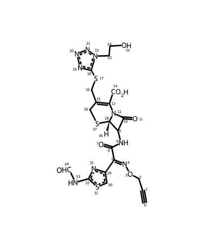 C#CCON=C(C(=O)NC1C(=O)N2C(C(=O)O)=C(CSc3nnnn3CCO)CS[C@@H]12)c1csc(NC=O)n1